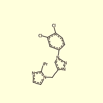 CC(C)c1nccn1Cc1cn(-c2ccc(Cl)c(Cl)c2)nn1